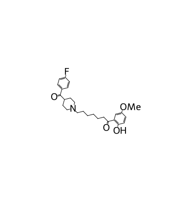 COc1ccc(O)c(C(=O)CCCCCCN2CCC(C(=O)c3ccc(F)cc3)CC2)c1